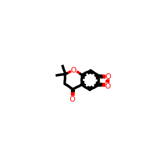 CC1(C)CC(=O)c2cc3ooc3cc2O1